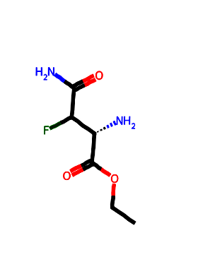 CCOC(=O)[C@@H](N)C(F)C(N)=O